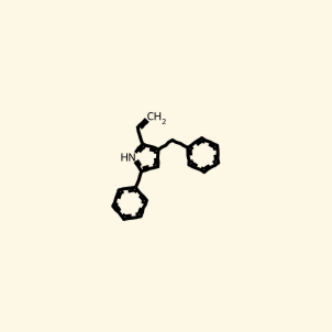 C=Cc1[nH]c(-c2ccccc2)cc1Cc1ccccc1